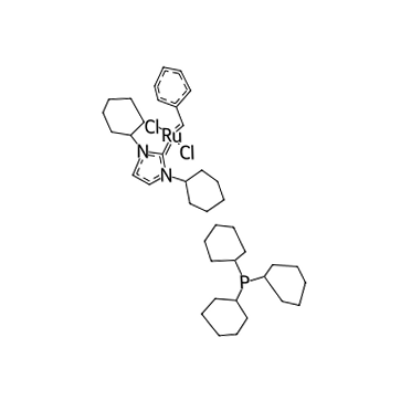 C1CCC(P(C2CCCCC2)C2CCCCC2)CC1.[Cl][Ru]([Cl])(=[CH]c1ccccc1)=[c]1n(C2CCCCC2)ccn1C1CCCCC1